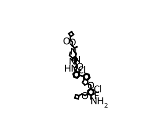 CC(COC(=O)C1CCC1)N1CCc2c(nc(C(=O)Nc3cccc(-c4cccc5c4CCC5Oc4cc(OCC5CCC5)c(CN)c(F)c4Cl)c3Cl)n2C)C1